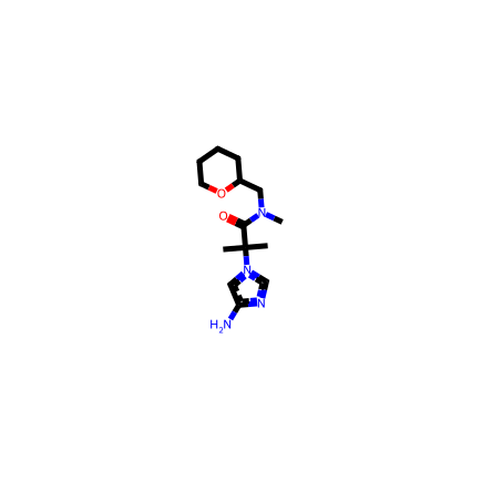 CN(CC1CCCCO1)C(=O)C(C)(C)n1cnc(N)c1